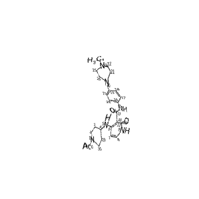 CC(=O)N1CCC(Nc2cc[nH]c(=O)c2C(=O)Nc2ccc(N3CCN(C)CC3)cc2)CC1